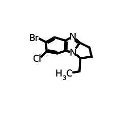 CCC1CCc2nc3cc(Br)c(Cl)cc3n21